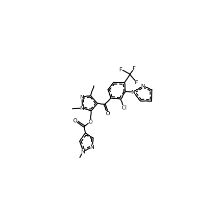 Cc1nn(C)c(OC(=O)c2cnn(C)c2)c1C(=O)c1ccc(C(F)(F)F)c(-n2cccn2)c1Cl